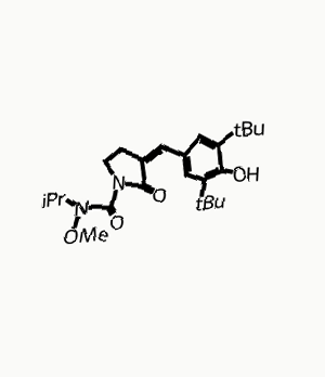 CON(C(=O)N1CC/C(=C/c2cc(C(C)(C)C)c(O)c(C(C)(C)C)c2)C1=O)C(C)C